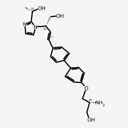 C[C@H](O)c1nccn1[C@@H](/C=C/c1ccc(-c2ccc(OC[C@H](N)CO)cc2)cc1)CO